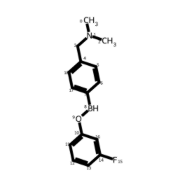 CN(C)Cc1ccc(BOc2cccc(F)c2)cc1